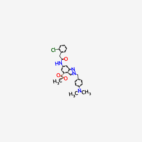 CN(C)c1ccc(Cn2cc3c(S(C)(=O)=O)cc(NC(=O)Cc4ccccc4Cl)cc3n2)cc1